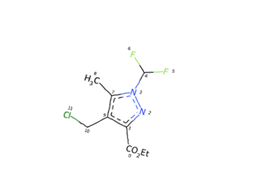 CCOC(=O)c1nn(C(F)F)c(C)c1CCl